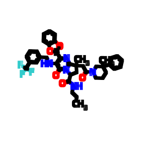 CCCNC(=O)C1CC(C)(CC(=O)N2CCCC(C)(c3ccccc3)C2)c2nc(B3Oc4ccccc4O3)c(NCc3cccc(C(F)(F)F)c3)c(=O)n21